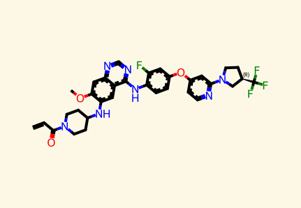 C=CC(=O)N1CCC(Nc2cc3c(Nc4ccc(Oc5ccnc(N6CC[C@@H](C(F)(F)F)C6)c5)cc4F)ncnc3cc2OC)CC1